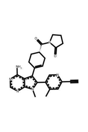 C#Cc1cc(C)c(-c2c(C3=CC[C@@H](C(=O)N4CCCC4=O)CC3)c3c(N)ncnc3n2C)cn1